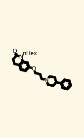 CCCCCCN1C(=O)CCc2ccc(OCCCN3CCC(c4ccccc4)CC3)cc21